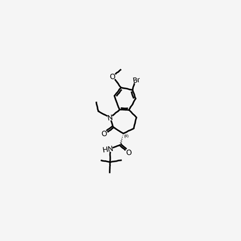 CCN1C(=O)[C@@H](C(=O)NC(C)(C)C)CCc2cc(Br)c(OC)cc21